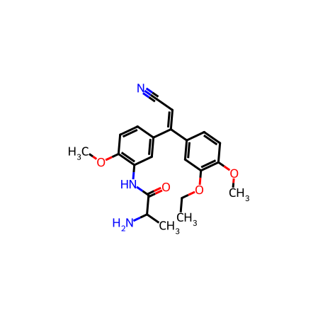 CCOc1cc(C(=CC#N)c2ccc(OC)c(NC(=O)C(C)N)c2)ccc1OC